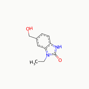 CCn1c(=O)[nH]c2ccc(CO)cc21